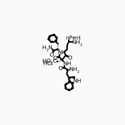 CCCCCC(N)CCCC(=O)[C@@](CC(=O)O)(NC(=O)[C@@H](N)Cc1c[nH]c2ccccc12)C(=O)N[C@@H](Cc1ccccc1)C(N)=O.Cl